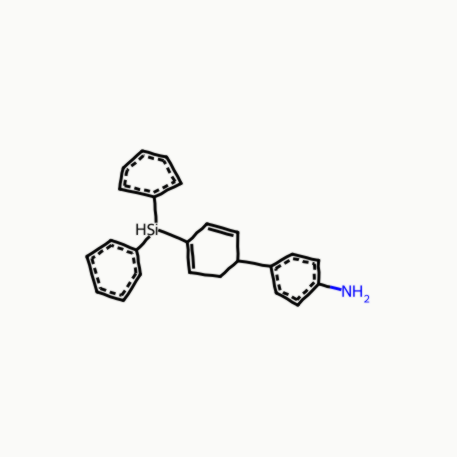 Nc1ccc(C2C=CC([SiH](c3ccccc3)c3ccccc3)=CC2)cc1